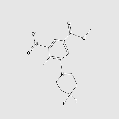 COC(=O)c1cc(N2CCC(F)(F)CC2)c(C)c([N+](=O)[O-])c1